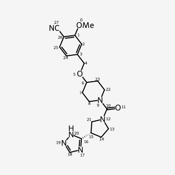 COc1cc(COC2CCN(C(=O)N3CC[C@H](c4ncn[nH]4)C3)CC2)ccc1C#N